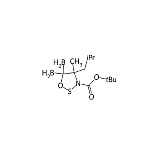 BC1(B)OSN(C(=O)OC(C)(C)C)C1(C)CC(C)C